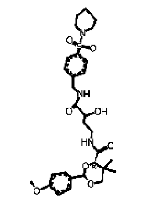 COc1ccc(C2OCC(C)(C)[C@H](C(=O)NCCC(O)C(=O)NCc3ccc(S(=O)(=O)N4CCCCC4)cc3)O2)cc1